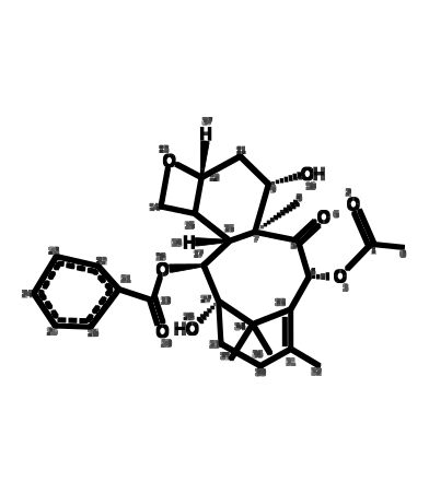 CC(=O)O[C@H]1C(=O)[C@]2(C)[C@@H](O)C[C@H]3OCC3[C@H]2[C@H](OC(=O)c2ccccc2)[C@]2(O)CCC(C)=C1C2(C)C